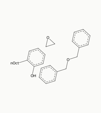 C1CO1.CCCCCCCCc1ccccc1O.c1ccc(COCc2ccccc2)cc1